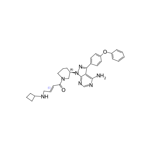 Nc1ncnc2c1c(-c1ccc(Oc3ccccc3)cc1)nn2[C@@H]1CCCN(C(=O)/C=C/CNC2CCC2)C1